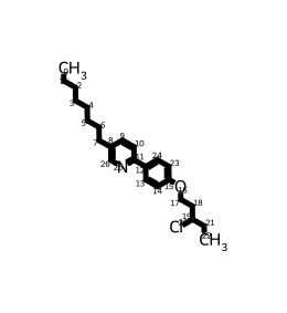 CCCCCCCCc1ccc(-c2ccc(OCCC(Cl)CC)cc2)nc1